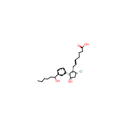 CCCCCC(O)c1cccc([C@@H]2[C@@H](CC=CCCCC(=O)O)[C@H](Cl)C[C@H]2O)c1